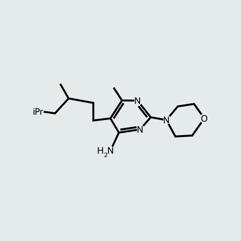 Cc1nc(N2CCOCC2)nc(N)c1CCC(C)CC(C)C